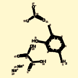 Cc1ccc(N)cc1O.O=S(O)S(=O)O.O=S([O-])[O-].[Na+].[Na+]